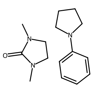 CN1CCN(C)C1=O.c1ccc(N2CCCC2)cc1